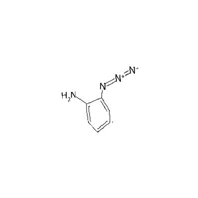 [N-]=[N+]=Nc1c[c]ccc1N